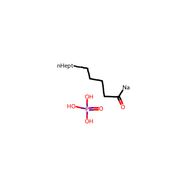 CCCCCCCCCCC[C](=O)[Na].O=P(O)(O)O